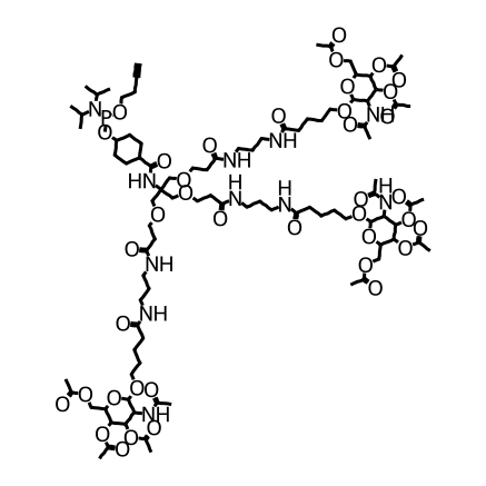 C#CCCOP(OC1CCC(C(=O)NC(COCCC(=O)NCCCNC(=O)CCCCOC2OC(COC(C)=O)C(OC(C)=O)C(OC(C)=O)C2NC(C)=O)(COCCC(=O)NCCCNC(=O)CCCCOC2OC(COC(C)=O)C(OC(C)=O)C(OC(C)=O)C2NC(C)=O)COCCC(=O)NCCCNC(=O)CCCCOC2OC(COC(C)=O)C(OC(C)=O)C(OC(C)=O)C2NC(C)=O)CC1)N(C(C)C)C(C)C